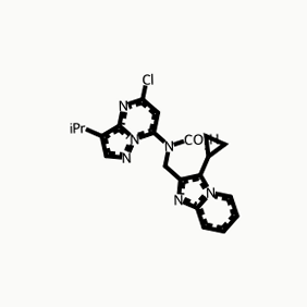 CC(C)c1cnn2c(N(Cc3nc4ccccn4c3C3CC3)C(=O)O)cc(Cl)nc12